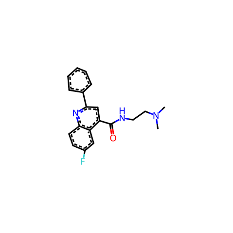 CN(C)CCNC(=O)c1cc(-c2ccccc2)nc2ccc(F)cc12